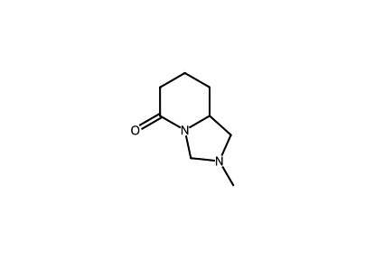 CN1CC2CCCC(=O)N2C1